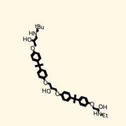 CCNC(O)COc1ccc(C(C)(C)c2ccc(OCC(O)COc3ccc(C(C)(C)c4ccc(OCC(O)CNCC(C)(C)C)cc4)cc3)cc2)cc1